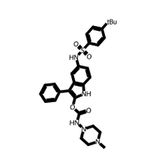 CN1CCN(NC(=O)Oc2[nH]c3ccc(NS(=O)(=O)c4ccc(C(C)(C)C)cc4)cc3c2-c2ccccc2)CC1